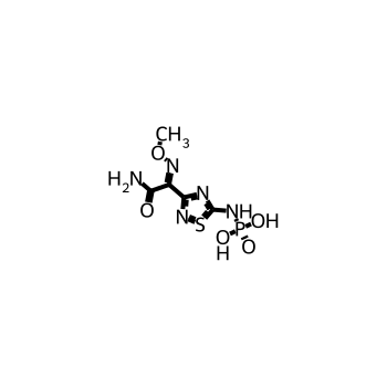 CO/N=C(\C(N)=O)c1nsc(NP(=O)(O)O)n1